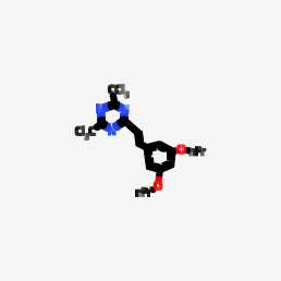 CCCOc1cc(/C=C/c2nc(C(Cl)(Cl)Cl)nc(C(Cl)(Cl)Cl)n2)cc(OCCC)c1